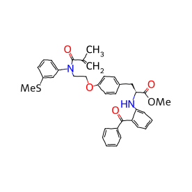 C=C(C)C(=O)N(CCOc1ccc(C[C@H](Nc2ccccc2C(=O)c2ccccc2)C(=O)OC)cc1)c1cccc(SC)c1